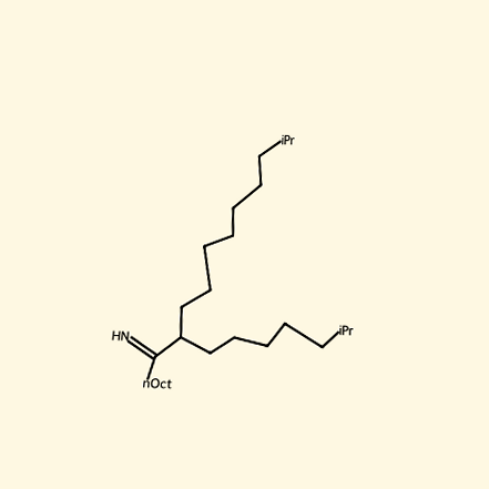 CCCCCCCCC(=N)C(CCCCCCCC(C)C)CCCCCC(C)C